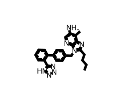 CCCCc1nc2c(C)c(N)cnc2n1Cc1ccc(-c2ccccc2-c2nnn[nH]2)cc1